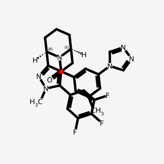 Cc1cc(C(=O)N2[C@H]3CCC[C@@H]2c2nn(C)c(-c4cc(F)c(F)c(F)c4)c2C3)cc(-n2cnnc2)c1